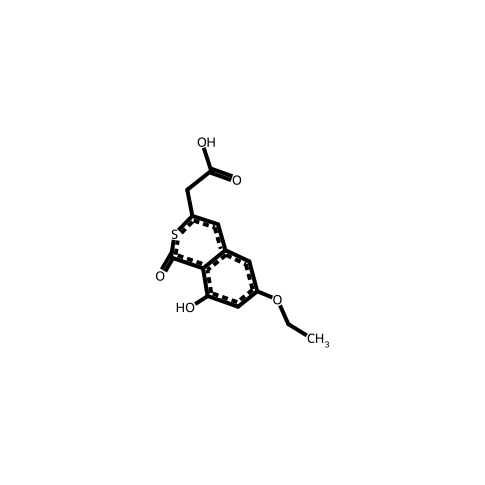 CCOc1cc(O)c2c(=O)sc(CC(=O)O)cc2c1